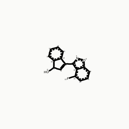 OC1C=C(c2noc3cccc(F)c23)c2ccccc21